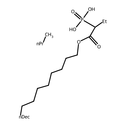 CCCC.CCCCCCCCCCCCCCCCCCOC(=O)C(CC)P(=O)(O)O